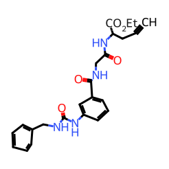 C#CCC(NC(=O)CNC(=O)c1cccc(NC(=O)NCc2ccccc2)c1)C(=O)OCC